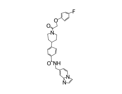 O=C(NCc1ccn2ccnc2c1)c1ccc(C2CCN(C(=O)COc3ccc(F)cc3)CC2)cc1